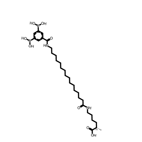 C[C@@H](CCCCNC(=O)CCCCCCCCCCCCCCCNC(=O)c1cc(B(O)O)cc(B(O)O)c1)C(=O)O